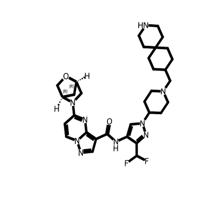 O=C(Nc1cn(C2CCN(CC3CCC4(CCNCC4)CC3)CC2)nc1C(F)F)c1cnn2ccc(N3C[C@H]4C[C@@H]3CO4)nc12